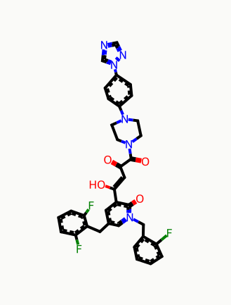 O=C(C=C(O)c1cc(Cc2c(F)cccc2F)cn(Cc2ccccc2F)c1=O)C(=O)N1CCN(c2ccc(-n3cncn3)cc2)CC1